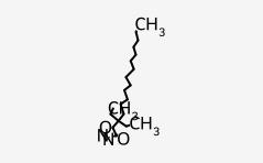 CCCCCCCCCCCCCC(CC)(CC)C1ON=NC1=O